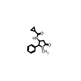 CN1C(=O)CC(NC(=O)C2CC2)C1c1ccccc1